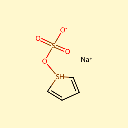 O=S(=O)([O-])O[SH]1C=CC=C1.[Na+]